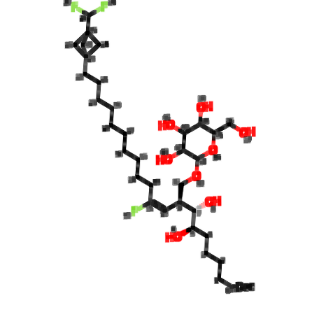 CCCCCCCCCCCCCC[C@@H](O)[C@@H](O)[C@@H](/C=C(/F)CCCCCCCCCCC12CC(C(F)F)(C1)C2)COC1OC(CO)C(O)C(O)C1O